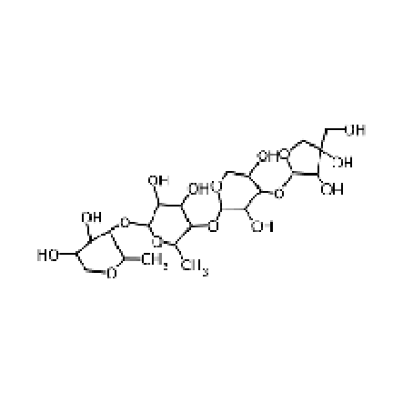 CC1OCC(O)C(O)C1OC1OC(C)C(OC2OCC(O)C(OC3OCC(O)(CO)C3O)C2O)C(O)C1O